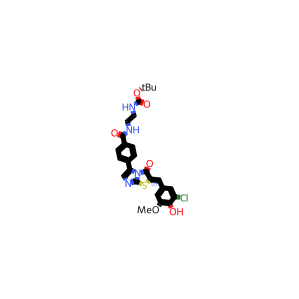 COc1cc(/C=c2\sc3ncc(-c4ccc(C(=O)NCCNC(=O)OC(C)(C)C)cc4)n3c2=O)cc(Cl)c1O